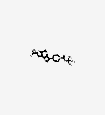 CC(C)(C)OC(=O)N1CCC(c2csc3c2ncc2oc(C(N)=O)cc23)CC1